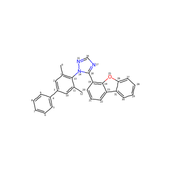 Cc1cc(-c2ccccc2)cc(C)c1-n1ncnc1-c1cccc2c1oc1ccccc12